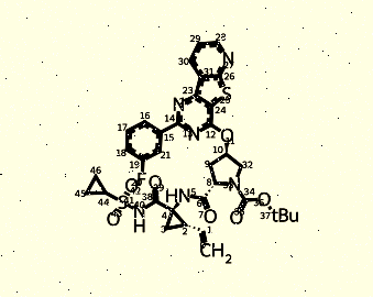 C=C[C@@H]1C[C@]1(NC(=O)[C@@H]1C[C@@H](Oc2nc(-c3cccc(F)c3)nc3c2sc2ncccc23)CN1C(=O)OC(C)(C)C)C(=O)NS(=O)(=O)C1CC1